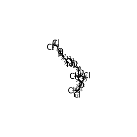 ClC(Cl)=CCON=CCc1ccc(OCCCOc2c(Cl)cc(OCC=C(Cl)Cl)cc2Cl)nc1